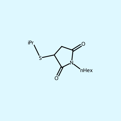 CCCCCCN1C(=O)CC(SC(C)C)C1=O